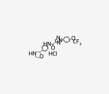 Cl.O=C(Nc1ccc(C2CNCCO2)cc1)c1cnn(-c2ccc(OC(F)(F)F)cc2)n1